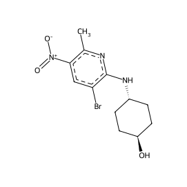 Cc1nc(N[C@H]2CC[C@H](O)CC2)c(Br)cc1[N+](=O)[O-]